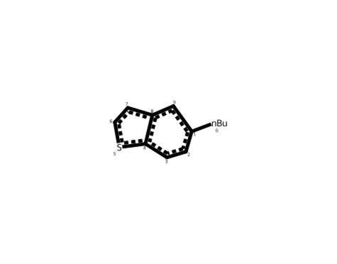 CCCCc1ccc2sccc2c1